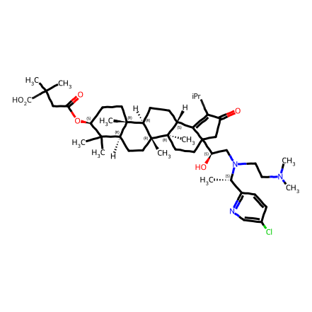 CC(C)C1=C2[C@H]3CC[C@@H]4[C@@]5(C)CC[C@H](OC(=O)CC(C)(C)C(=O)O)C(C)(C)[C@@H]5CC[C@@]4(C)[C@]3(C)CCC2([C@H](O)CN(CCN(C)C)[C@@H](C)c2ccc(Cl)cn2)CC1=O